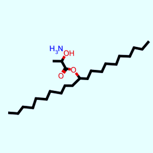 CCCCCCCCCCC(CCCCCCCCCC)OC(=O)C(C)O.N